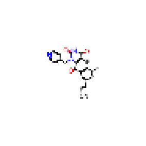 Cc1cc(/C=C/C#N)cc(C(=O)c2c(C(C)C)c(=O)[nH]c(=O)n2Cc2ccncc2)c1